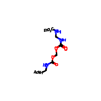 CCOC(=O)NCNC(=O)OCOC(=O)NCNC(C)=O